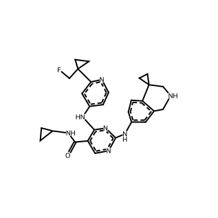 O=C(NC1CC1)c1cnc(Nc2ccc3c(c2)CNCC32CC2)nc1Nc1ccnc(C2(CF)CC2)c1